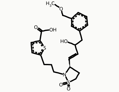 COCc1cccc(CC(O)/C=C/[C@H]2CCS(=O)(=O)N2CCCc2ccc(C(=O)O)s2)c1